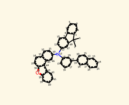 CC1(C)c2ccccc2-c2ccc(N(c3cccc(-c4ccc5ccccc5c4)c3)c3ccc4ccc5oc6ccccc6c5c4c3)cc21